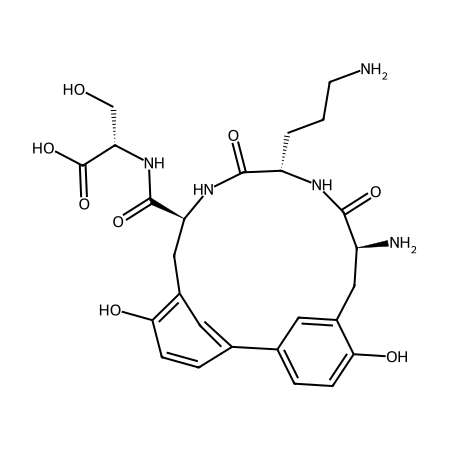 NCCC[C@@H]1NC(=O)[C@@H](N)Cc2cc(ccc2O)-c2ccc(O)c(c2)C[C@@H](C(=O)N[C@@H](CO)C(=O)O)NC1=O